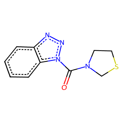 O=C(N1CCSC1)n1nnc2ccccc21